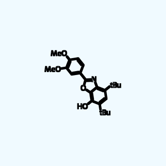 COc1ccc(-c2nc3c(C(C)(C)C)cc(C(C)(C)C)c(O)c3o2)cc1OC